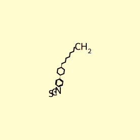 C=CCCCCCC[C@H]1CC[C@H](c2ccc(N=C=S)cc2)CC1